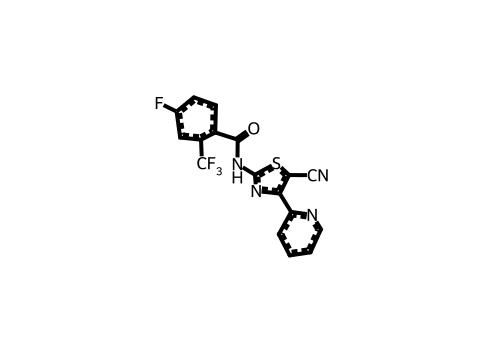 N#Cc1sc(NC(=O)c2ccc(F)cc2C(F)(F)F)nc1-c1ccccn1